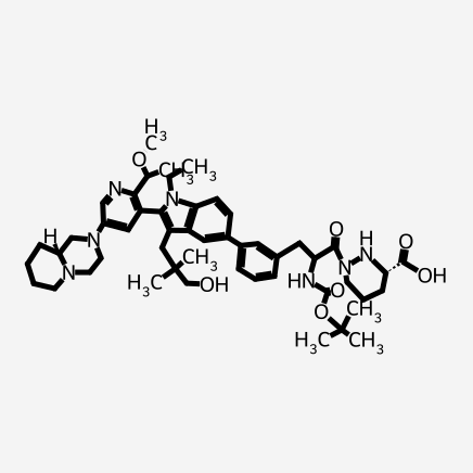 CCn1c(-c2cc(N3CCN4CCCC[C@@H]4C3)cnc2C(C)OC)c(CC(C)(C)CO)c2cc(-c3cccc(CC(NC(=O)OC(C)(C)C)C(=O)N4CCC[C@@H](C(=O)O)N4)c3)ccc21